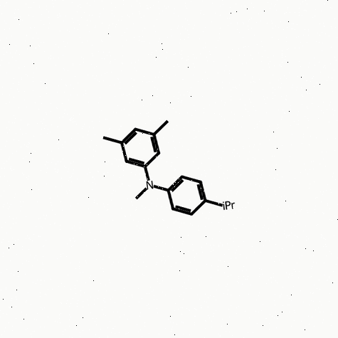 Cc1cc(C)cc(N(C)c2ccc(C(C)C)cc2)c1